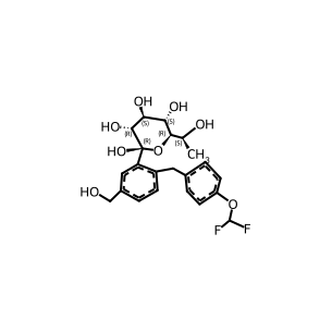 C[C@H](O)[C@H]1O[C@](O)(c2cc(CO)ccc2Cc2ccc(OC(F)F)cc2)[C@H](O)[C@@H](O)[C@@H]1O